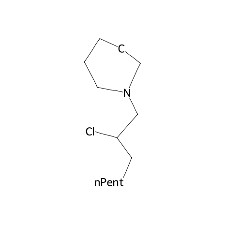 CCC[CH]CCC(Cl)CN1CCCCC1